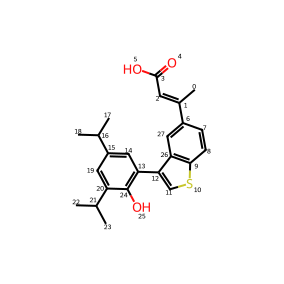 CC(=CC(=O)O)c1ccc2scc(-c3cc(C(C)C)cc(C(C)C)c3O)c2c1